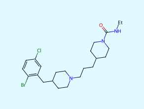 CCNC(=O)N1CCC(CCCN2CCC(Cc3cc(Cl)ccc3Br)CC2)CC1